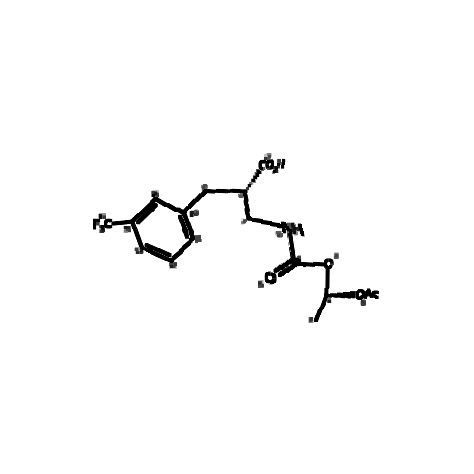 CC(=O)O[C@@H](C)OC(=O)NC[C@H](Cc1cccc(C(F)(F)F)c1)C(=O)O